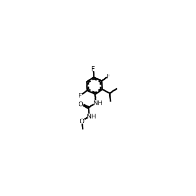 CONC(=O)Nc1c(F)cc(F)c(F)c1C(C)C